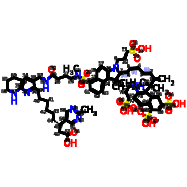 C=C(/C=C/C=C\C=C1/N(CCCS(=O)(=O)O)c2ccc3c(S(=O)(=O)N(C)CCCC(=O)NCc4cc5c(nc4CCCCCC[C@@H](CC(=O)O)c4cnc(C)nc4)NCCC5)cccc3c2C1(C)C)C(C)(C)c1c(NCCCS(=O)(=O)O)ccc2c(S(=O)(=O)O)cc(S(=O)(=O)O)cc12